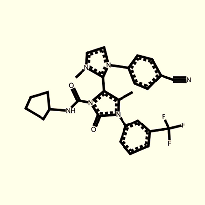 Cc1c(-c2n(-c3ccc(C#N)cc3)cc[n+]2C)n(C(=O)NC2CCCC2)c(=O)n1-c1cccc(C(F)(F)F)c1